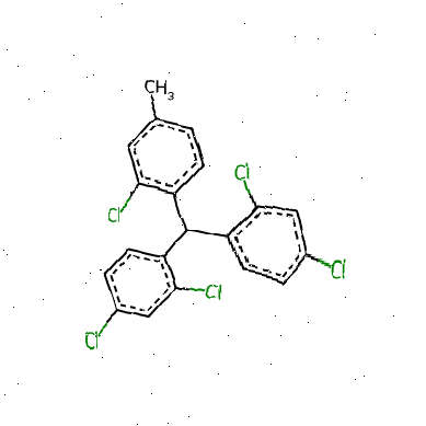 Cc1ccc(C(c2ccc(Cl)cc2Cl)c2ccc(Cl)cc2Cl)c(Cl)c1